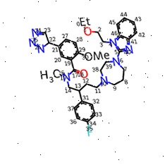 CCOCCn1c(N2CCCN(CCC(CN(C)C(=O)c3cc(C4C=NN=N4)ccc3OC)c3ccc(F)cc3)CC2)nc2ccccc21